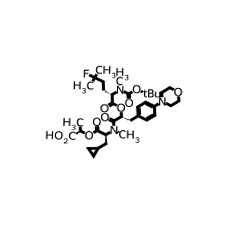 C[C@@H](OC(=O)[C@H](CC1CC1)N(C)C(=O)[C@@H](Cc1ccc(N2CCOCC2)cc1)OC(=O)[C@H](CCC(C)(C)F)N(C)C(=O)OC(C)(C)C)C(=O)O